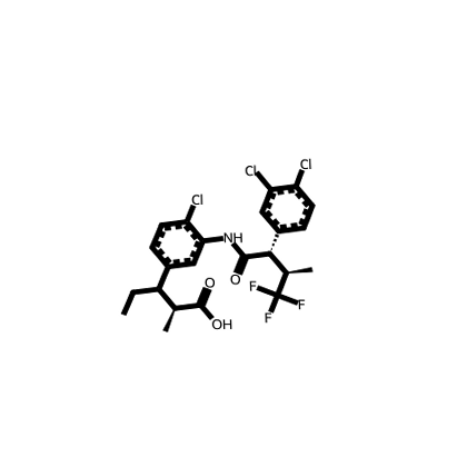 CCC(c1ccc(Cl)c(NC(=O)[C@H](c2ccc(Cl)c(Cl)c2)[C@@H](C)C(F)(F)F)c1)[C@H](C)C(=O)O